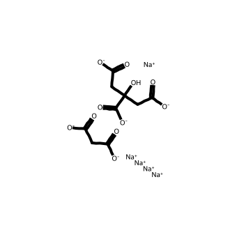 O=C([O-])CC(=O)[O-].O=C([O-])CC(O)(CC(=O)[O-])C(=O)[O-].[Na+].[Na+].[Na+].[Na+].[Na+]